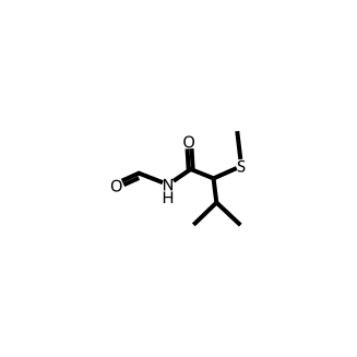 CSC(C(=O)NC=O)C(C)C